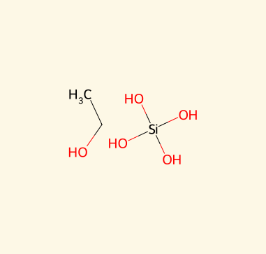 CCO.O[Si](O)(O)O